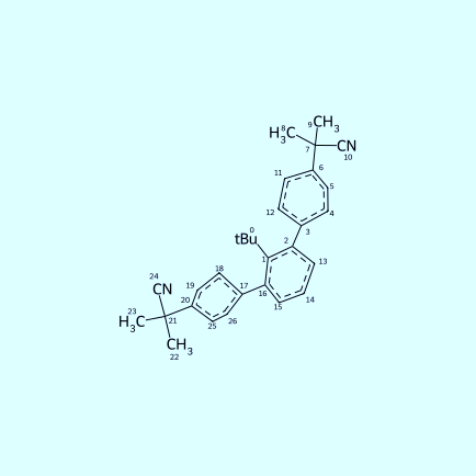 CC(C)(C)c1c(-c2ccc(C(C)(C)C#N)cc2)cccc1-c1ccc(C(C)(C)C#N)cc1